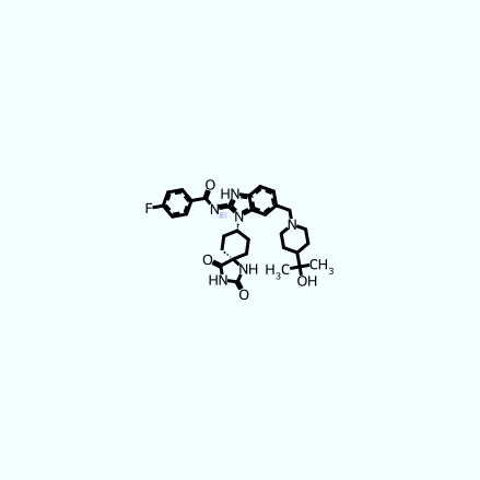 CC(C)(O)C1CCN(Cc2ccc3[nH]/c(=N\C(=O)c4ccc(F)cc4)n([C@H]4CC[C@]5(CC4)NC(=O)NC5=O)c3c2)CC1